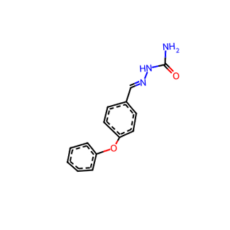 NC(=O)NN=Cc1ccc(Oc2ccccc2)cc1